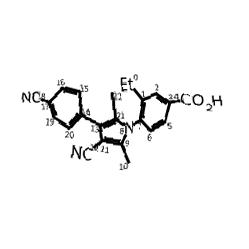 CCc1cc(C(=O)O)ccc1-n1c(C)c(C#N)c(-c2ccc(C#N)cc2)c1C